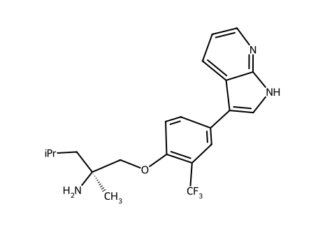 CC(C)C[C@](C)(N)COc1ccc(-c2c[nH]c3ncccc23)cc1C(F)(F)F